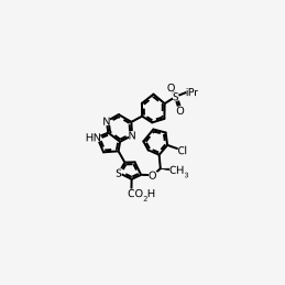 CC(C)S(=O)(=O)c1ccc(-c2cnc3[nH]cc(-c4cc(O[C@H](C)c5ccccc5Cl)c(C(=O)O)s4)c3n2)cc1